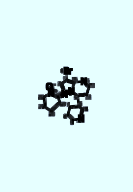 Brc1cnn2c(-c3cccnc3)ccnc12.[O-][n+]1ccccc1